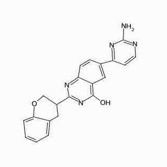 Nc1nccc(-c2ccc3nc(C4COc5ccccc5C4)nc(O)c3c2)n1